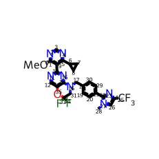 COc1ncnc(C2CC2)c1-c1ncc2c(n1)N(Cc1ccc(-c3nc(C(F)(F)F)cn3C)cc1)CC(F)(F)O2